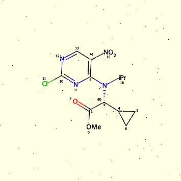 COC(=O)[C@@H](C1CC1)N(c1nc(Cl)ncc1[N+](=O)[O-])C(C)C